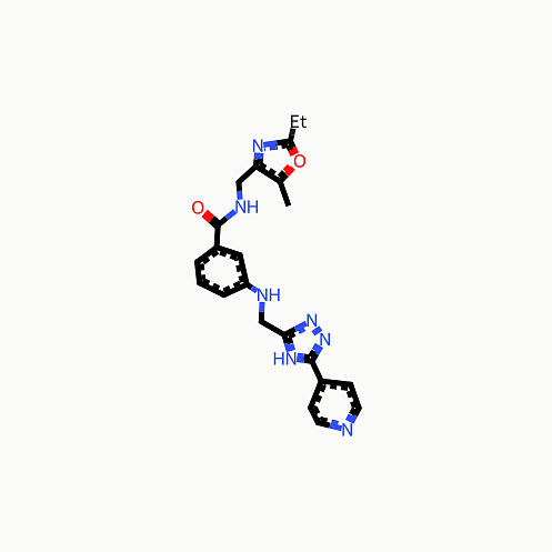 CCc1nc(CNC(=O)c2cccc(NCc3nnc(-c4ccncc4)[nH]3)c2)c(C)o1